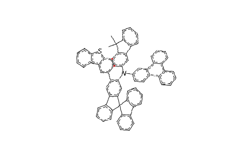 CC1(C)c2ccccc2-c2cc(N(c3ccc4c5ccccc5c5ccccc5c4c3)c3cc4c(cc3-c3ccc5sc6ccccc6c5c3)-c3ccccc3C43c4ccccc4-c4ccccc43)ccc21